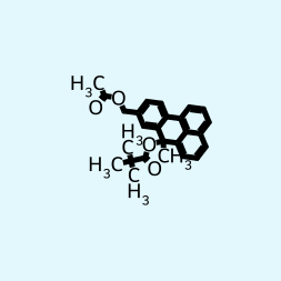 CC(=O)OCc1ccc2c(c1)C(C)(OC(=O)C(C)(C)C)c1cccc3cccc-2c13